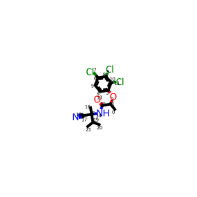 CC(Oc1ccc(Cl)c(Cl)c1Cl)C(=O)NC(C)(C#N)C(C)C